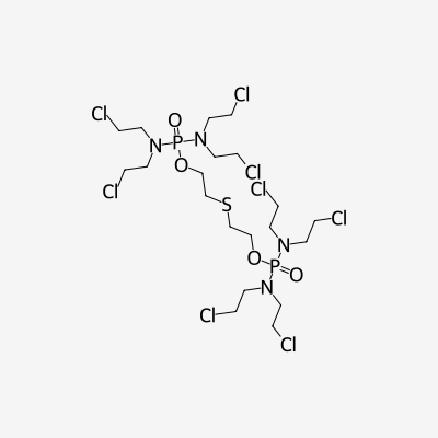 O=P(OCCSCCOP(=O)(N(CCCl)CCCl)N(CCCl)CCCl)(N(CCCl)CCCl)N(CCCl)CCCl